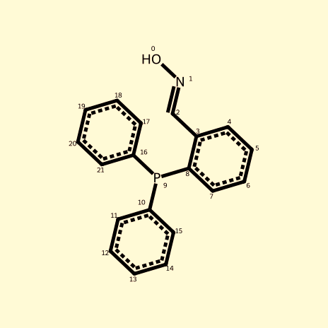 O/N=C/c1ccccc1P(c1ccccc1)c1ccccc1